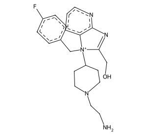 NCCN1CCC([N+]2(Cc3ccc(F)cc3)C(CO)=Nc3ncccc32)CC1